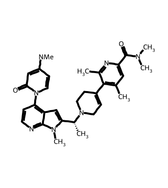 CNc1ccn(-c2ccnc3c2cc([C@@H](C)N2CC=C(c4c(C)cc(C(=O)N(C)C)nc4C)CC2)n3C)c(=O)c1